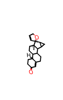 C[C@]12CCC3C(CCC4=CC(=O)CC[C@@H]43)C1C1CC1[C@@]21C=CCO1